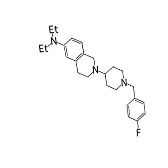 CCN(CC)c1ccc2c(c1)CCN(C1CCN(Cc3ccc(F)cc3)CC1)C2